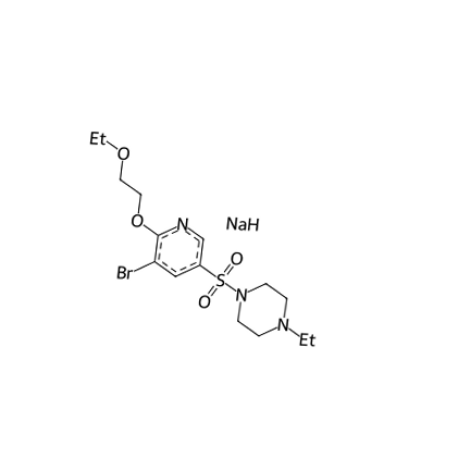 CCOCCOc1ncc(S(=O)(=O)N2CCN(CC)CC2)cc1Br.[NaH]